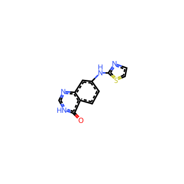 O=c1[nH]cnc2cc(Nc3nccs3)ccc12